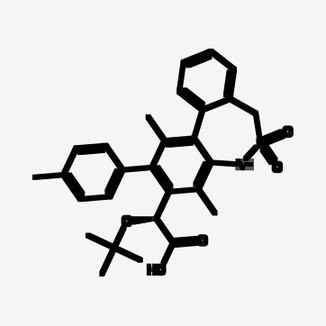 Cc1ccc(-c2c(C)c3c(c(C)c2[C@H](OC(C)(C)C)C(=O)O)NS(=O)(=O)Cc2ccccc2-3)cc1